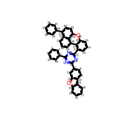 c1ccc(-c2nc(-c3ccc4c(c3)oc3ccccc34)nc(-c3cccc4c3-c3cccc5c(-c6ccccc6)ccc(c35)O4)n2)cc1